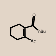 CCCCC(=O)C1=C(C(C)=O)CCCC1